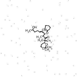 C/C(=C\CCC(C)O)[C@H](OC1CCCCO1)C(C)C(=O)C(C)(C)[C@@H]1CCOC(C)(C)O1